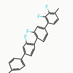 Cc1ccc(-c2ccc(-c3ccc(-c4ccc(C)c(F)c4F)cc3F)c(F)c2)cc1